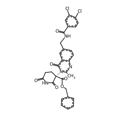 Cc1nc2ccc(CNC(=O)c3ccc(Cl)c(Cl)c3)cc2c(=O)n1[C@@]1(C(=O)OCc2ccccc2)CCC(=O)NC1=O